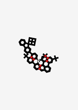 CC(C)(C)c1ccc(-c2ccccc2N(c2ccc(-c3ccc4c(c3)C3(c5ccccc5-4)C4CC5CC6CC3C564)cc2)c2ccccc2-c2cccc3cccc(-c4cc(C(C)(C)C)cc(C(C)(C)C)c4)c23)cc1